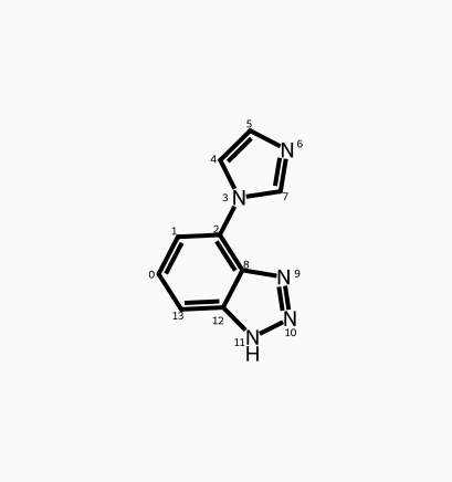 c1cc(-n2ccnc2)c2nn[nH]c2c1